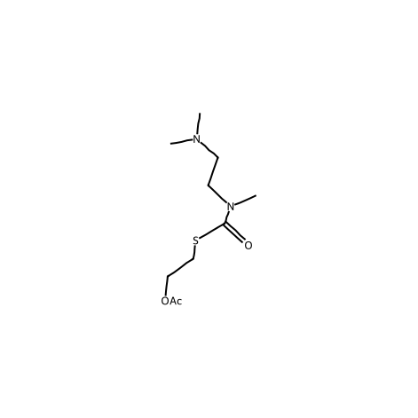 CC(=O)OCCSC(=O)N(C)CCN(C)C